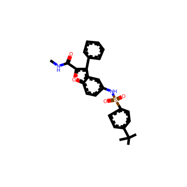 CNC(=O)c1oc2ccc(NS(=O)(=O)c3ccc(C(C)(C)C)cc3)cc2c1-c1ccccc1